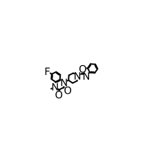 Cn1c(=O)c(=O)n(C2CCN(c3nc4ccccc4o3)CC2)c2ccc(F)cc21